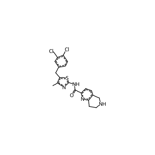 Cc1nc(NC(=O)c2ccc3c(n2)CCNC3)sc1Cc1ccc(Cl)c(Cl)c1